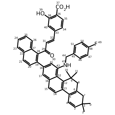 CC1(C)C=CC2=C(C1)CC(C)(C)c1c2ccc2cc(-c3ccc4ccccc4c3C(=O)C=Cc3ccc(C(=O)O)c(O)c3)cc(NCc3ccc(F)cc3)c12